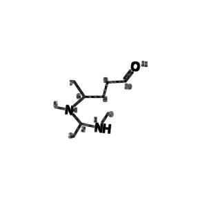 CNC(C)N(C)C(C)CCC=O